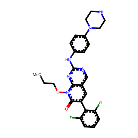 COCCOn1c(=O)c(-c2c(F)cccc2Cl)cc2cnc(Nc3ccc(N4CCNCC4)cc3)nc21